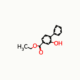 CCOC(=O)c1ccc(-c2ccccc2)c(O)c1